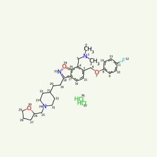 CN(C)Cc1c(COc2ccc(F)cc2)ccc2c(CCC3CCN(CC4CCCO4)CC3)noc12.Cl.Cl